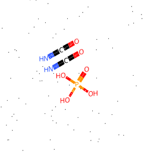 N=C=O.N=C=O.O=P(O)(O)O